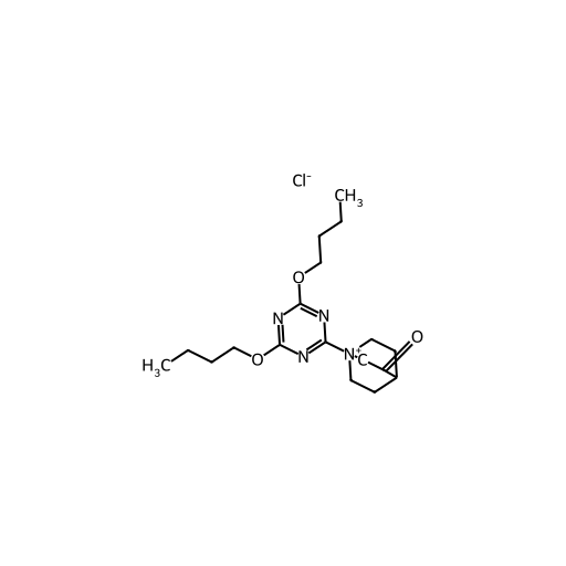 CCCCOc1nc(OCCCC)nc([N+]23CCC(CC2)C(=O)C3)n1.[Cl-]